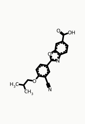 CC(C)COc1ccc(-c2nc3ccc(C(=O)O)cc3o2)cc1C#N